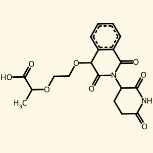 CC(OCCOC1C(=O)N(C2CCC(=O)NC2=O)C(=O)c2ccccc21)C(=O)O